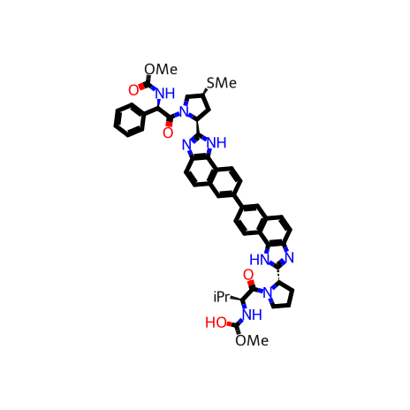 COC(=O)N[C@@H](C(=O)N1C[C@@H](SC)C[C@H]1c1nc2ccc3cc(-c4ccc5c(ccc6nc([C@@H]7CCCN7C(=O)[C@@H](NC(O)OC)C(C)C)[nH]c65)c4)ccc3c2[nH]1)c1ccccc1